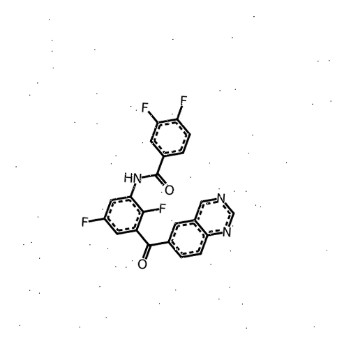 O=C(Nc1cc(F)cc(C(=O)c2ccc3ncncc3c2)c1F)c1ccc(F)c(F)c1